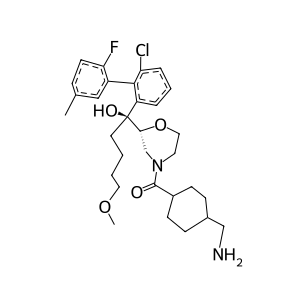 COCCCC[C@](O)(c1cccc(Cl)c1-c1cc(C)ccc1F)[C@H]1CN(C(=O)C2CCC(CN)CC2)CCO1